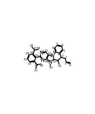 C=CCC1c2ccccc2N2c3cnc(-c4c(C(C)C)cccc4C(C)C)nc3N(C)C2C1C